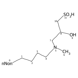 CCCCCCCCCCCCCN(C)CC(O)CS(=O)(=O)O